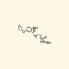 CC(CN(C)Cc1n[nH]c2ccc(OC3CCOC3)cc12)OC(=O)NC(C)(C)C